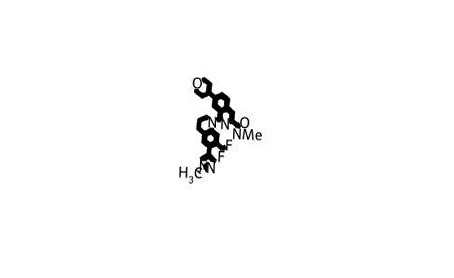 CNC(=O)c1cc2ccc(C3=CCOCC3)cc2c(N2CCCc3cc(-c4cnn(C)c4)c(C(F)F)cc32)n1